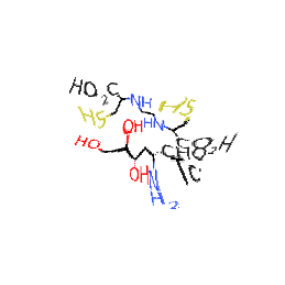 N[C@@H](C=O)C[C@H](O)[C@H](O)CO.O=C(O)[C@H](CS)NCCN[C@@H](CS)C(=O)O.[Tc]